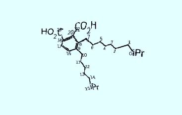 CC(C)CCCCCCCc1c(CCCCCC(C)C)ccc(C(=O)O)c1C(=O)O